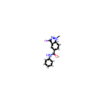 Cn1nc(I)c2cc(C(=O)Nc3ccccc3)ccc21